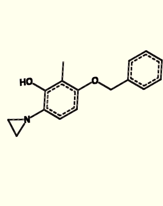 Cc1c(OCc2ccccc2)ccc(N2CC2)c1O